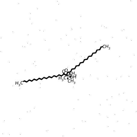 CCCCCCCCCCCCCCCCCC(=O)C(C)(C(=O)CCCCCCCCCCCCCCCCC)[N+](C)(O)CC